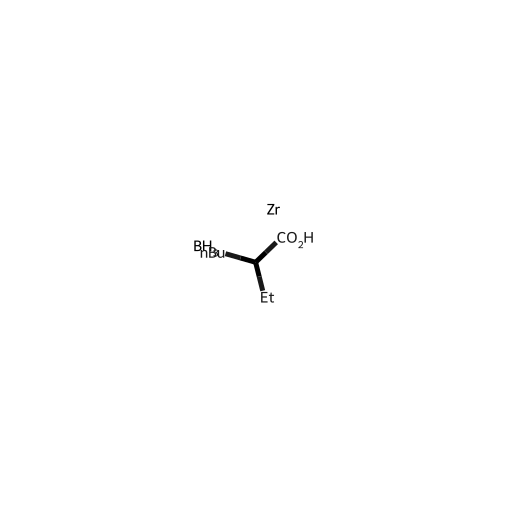 B.CCCCC(CC)C(=O)O.[Zr]